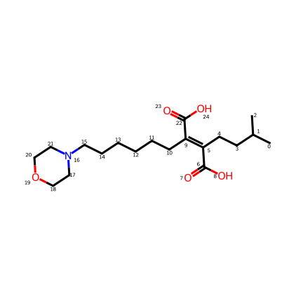 CC(C)CC/C(C(=O)O)=C(/CCCCCCN1CCOCC1)C(=O)O